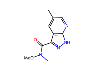 CON(C)C(=O)c1n[nH]c2ncc(C)cc12